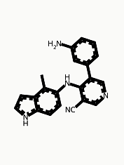 Cc1c(Nc2c(C#N)cncc2-c2cccc(N)c2)ccc2[nH]ccc12